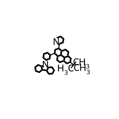 CC(C)(C)c1cc2ccc3c(-c4cccc(-n5c6ccccc6c6ccccc65)c4)cc(-c4ccccn4)c4ccc(c1)c2c34